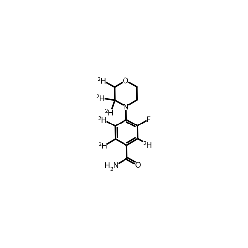 [2H]c1c([2H])c(N2CCOC([2H])C2([2H])[2H])c(F)c([2H])c1C(N)=O